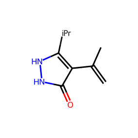 C=C(C)c1c(C(C)C)[nH][nH]c1=O